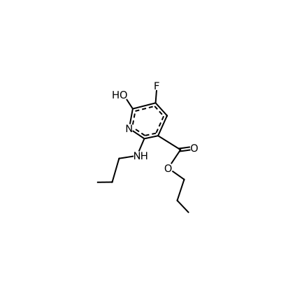 CCCNc1nc(O)c(F)cc1C(=O)OCCC